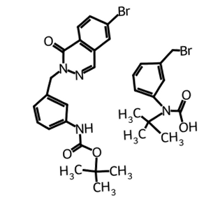 CC(C)(C)N(C(=O)O)c1cccc(CBr)c1.CC(C)(C)OC(=O)Nc1cccc(Cn2ncc3cc(Br)ccc3c2=O)c1